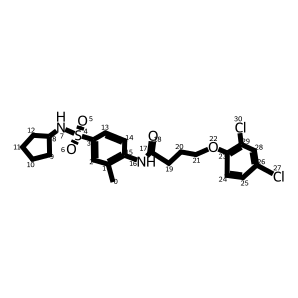 Cc1cc(S(=O)(=O)NC2CCCC2)ccc1NC(=O)CCCOc1ccc(Cl)cc1Cl